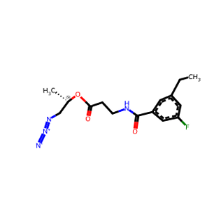 CCc1cc(F)cc(C(=O)NCCC(=O)O[C@@H](C)CN=[N+]=[N-])c1